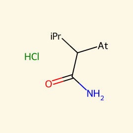 CC(C)C([At])C(N)=O.Cl